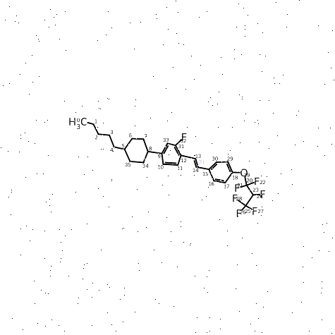 CCCCCC1CCC(c2ccc(/C=C/c3ccc(OC(F)(F)C(F)C(F)(F)F)cc3)c(F)c2)CC1